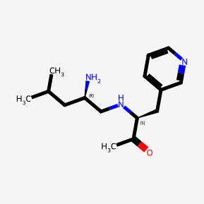 CC(=O)[C@H](Cc1cccnc1)NC[C@H](N)CC(C)C